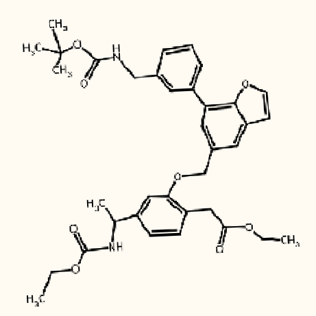 CCOC(=O)Cc1ccc(C(C)NC(=O)OCC)cc1OCc1cc(-c2cccc(CNC(=O)OC(C)(C)C)c2)c2occc2c1